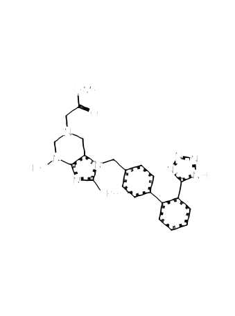 CCCCCc1nc2c(n1Cc1ccc(-c3ccccc3-c3nnn[nH]3)cc1)CN(CC(=O)OC)CN2C